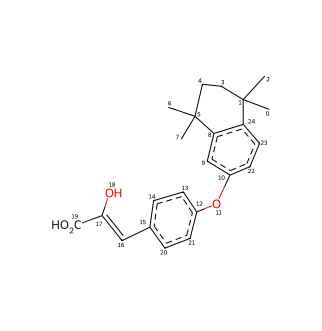 CC1(C)CCC(C)(C)c2cc(Oc3ccc(C=C(O)C(=O)O)cc3)ccc21